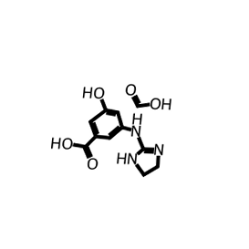 O=C(O)c1cc(O)cc(NC2=NCCN2)c1.O=CO